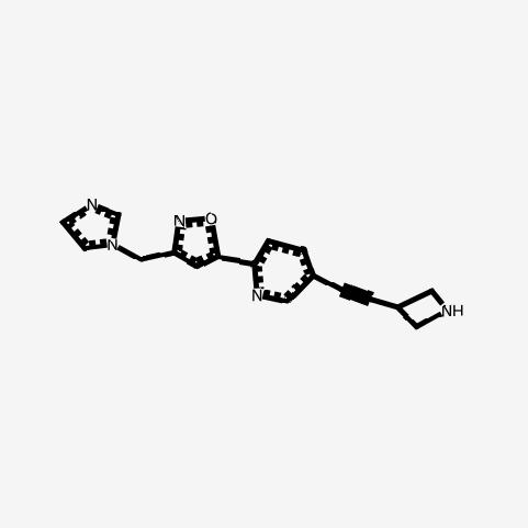 C(#CC1CNC1)c1ccc(-c2cc(Cn3ccnc3)no2)nc1